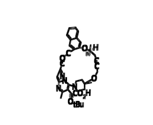 Cc1nc2cc3nn2c(c1[C@H](OC(C)(C)C)C(=O)O)N1CCC(C)(CC1)OCCCC[C@H](C)Oc1cc2ccccc2cc1COC3